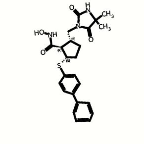 CC1(C)NC(=O)N(C[C@@H]2CC[C@H](Sc3ccc(-c4ccccc4)cc3)[C@H]2C(=O)NO)C1=O